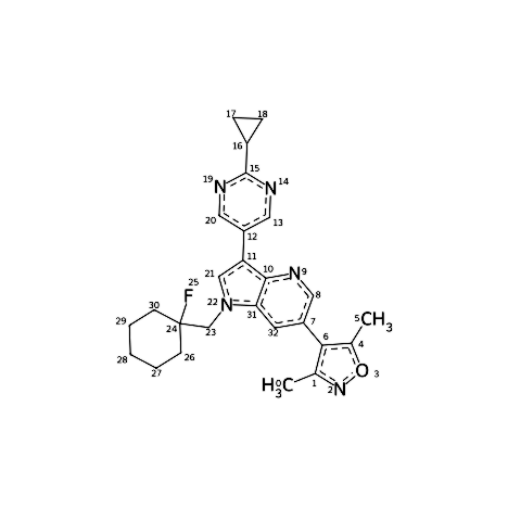 Cc1noc(C)c1-c1cnc2c(-c3cnc(C4CC4)nc3)cn(CC3(F)CCCCC3)c2c1